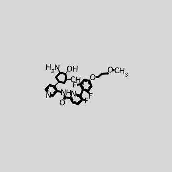 COCCCOc1cc(F)c(-c2nc(C(=O)Nc3cnccc3[C@H]3C[C@@H](N)[C@H](O)[C@@H](C)C3)ccc2F)c(F)c1